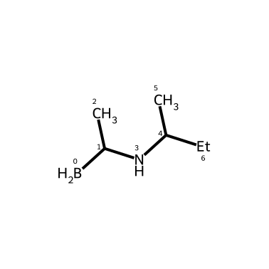 BC(C)NC(C)CC